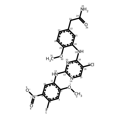 COc1cc(F)c([N+](=O)[O-])cc1Nc1ncc(Cl)c(Nc2cc(CC(N)=O)ccc2OC)n1